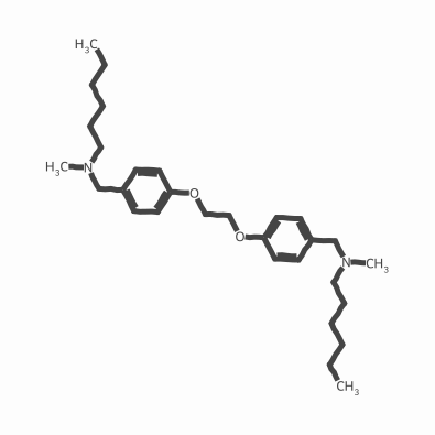 CCCCCCN(C)Cc1ccc(OCCOc2ccc(CN(C)CCCCCC)cc2)cc1